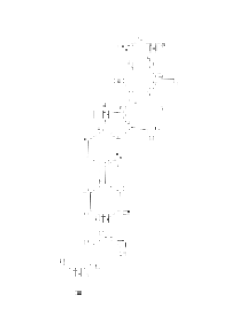 Cc1c(-c2[nH]c3ccc(C4CCN(C(=O)CCN(C)C)CC4)nc3c2C(C)C)cn2ncnc2c1C